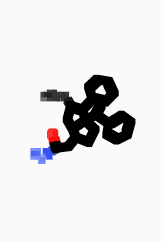 C=C(c1ccccc1)C12CCC(CC(N)=O)C1CC(CCCCCC)=C2c1ccccc1